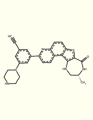 C#Cc1cc(-c2ccc3c(ccc4sc5c(c43)NC[C@@H](C)NC5=O)n2)cc(N2CCNCC2)c1